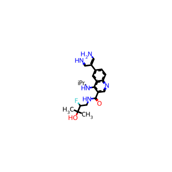 CC(C)Nc1c(C(=O)NCC(F)C(C)(C)O)cnc2ccc(/C(C=N)=C/N)cc12